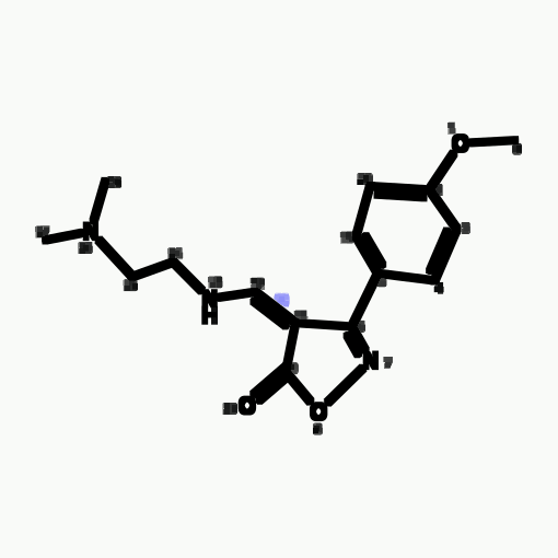 COc1ccc(C2=NOC(=O)/C2=C\NCCN(C)C)cc1